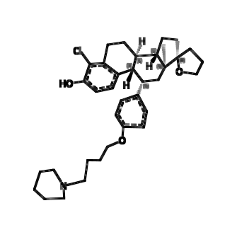 C[C@]12C[C@H](c3ccc(OCCCCN4CCCCC4)cc3)[C@@H]3c4ccc(O)c(Cl)c4CC[C@H]3[C@@H]1CC[C@@]21CCCO1